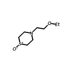 CCOCCN1CC[S+]([O-])CC1